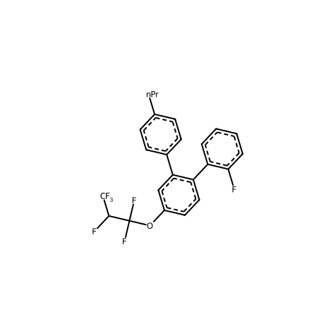 CCCc1ccc(-c2cc(OC(F)(F)C(F)C(F)(F)F)ccc2-c2ccccc2F)cc1